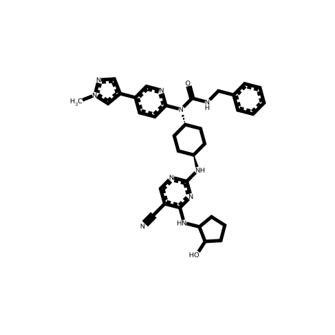 Cn1cc(-c2ccc(N(C(=O)NCc3ccccc3)[C@H]3CC[C@H](Nc4ncc(C#N)c(NC5CCCC5O)n4)CC3)nc2)cn1